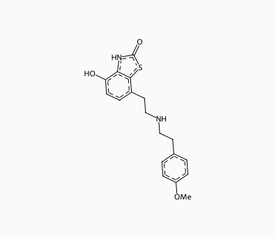 COc1ccc(CCNCCc2ccc(O)c3[nH]c(=O)sc23)cc1